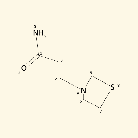 NC(=O)CCN1CCSC1